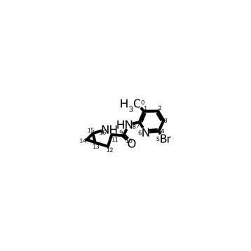 Cc1ccc(Br)nc1NC(=O)C1CC2CC2N1